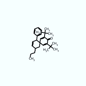 CCCC1C=CC(c2ccccc2)C2(C=C(C(C)(C)C)C(=O)C(C(C)(C)C)=C2)C1